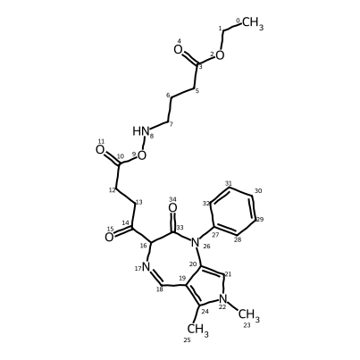 CCOC(=O)CCCNOC(=O)CCC(=O)C1N=Cc2c(cn(C)c2C)N(c2ccccc2)C1=O